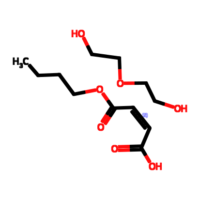 CCCCOC(=O)/C=C\C(=O)O.OCCOCCO